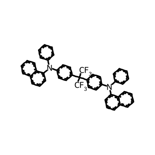 FC(F)(F)C(c1ccc(N(c2ccccc2)c2cccc3ccccc23)cc1)(c1ccc(N(c2ccccc2)c2cccc3ccccc23)cc1)C(F)(F)F